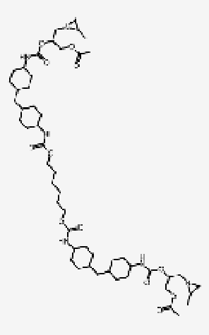 CC(=O)OCC(CN1CC1C)OC(=O)NC1CCC(CC2CCC(NC(=O)OCCCCCCOC(=O)NC3CCC(CC4CCC(NC(=O)OC(COC(C)=O)CN5CC5C)CC4)CC3)CC2)CC1